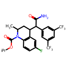 CC(C)OC(=O)N1c2ccc(F)cc2C(C(C(N)=O)c2cc(C(F)(F)F)cc(C(F)(F)F)c2)CC1C